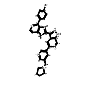 Fc1ccc(-c2nccc3[nH]c(-c4n[nH]c5cnc(-c6cncc(CN7CCCC7)c6)cc45)nc23)cc1